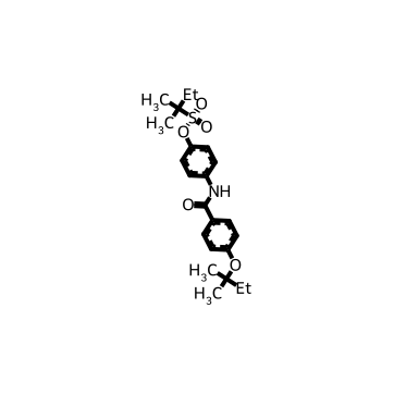 CCC(C)(C)Oc1ccc(C(=O)Nc2ccc(OS(=O)(=O)C(C)(C)CC)cc2)cc1